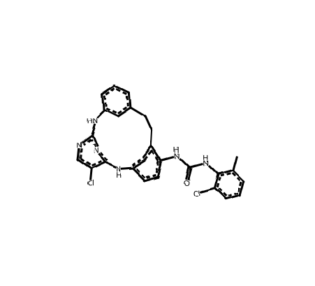 Cc1cccc(Cl)c1NC(=O)Nc1ccc2cc1CCc1cccc(c1)Nc1ncc(Cl)c(n1)N2